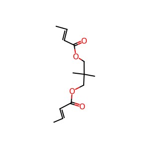 C/C=C/C(=O)OCC(C)(C)COC(=O)/C=C/C